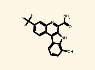 NC(=O)c1nc2cc(C(F)(F)F)ccc2c2c1[nH]c1c(O)cccc12